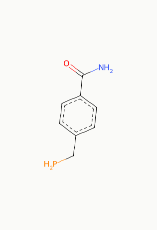 NC(=O)c1ccc(CP)cc1